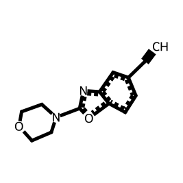 C#Cc1ccc2oc(N3CCOCC3)nc2c1